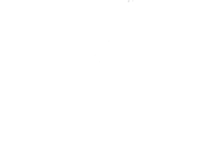 CCCC1CCC(c2ccc(-c3ccc(C4=CCC(CC)CC4)cc3)cc2)CC1